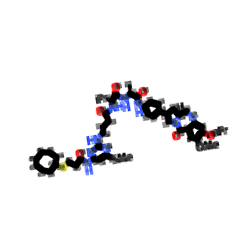 CCCOc1cc2c(cc1OC)C(=O)N1C=C(c3ccc(NC(=O)[C@H](C)NC(=O)[C@@H](NC(=O)CCCNc4nc(NC(=O)CCSC5CCCCCCC5)cc(SC)n4)C(C)C)cc3)C[C@H]1C=N2